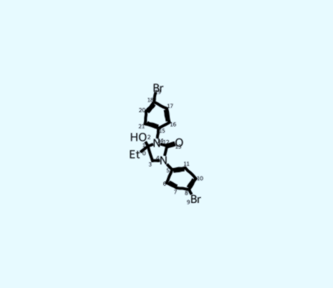 CCC1(O)CN(c2ccc(Br)cc2)C(=O)N1c1ccc(Br)cc1